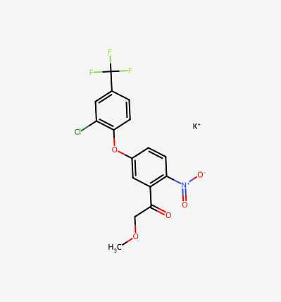 COCC(=O)c1cc(Oc2ccc(C(F)(F)F)cc2Cl)ccc1[N+](=O)[O-].[K+]